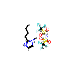 CCCCc1nccn1C.O=S(=O)(NS(=O)(=O)C(F)(F)F)C(F)(F)F